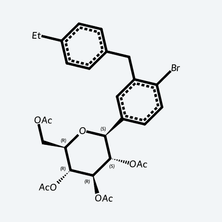 CCc1ccc(Cc2cc([C@@H]3O[C@H](COC(C)=O)[C@@H](OC(C)=O)[C@H](OC(C)=O)[C@H]3OC(C)=O)ccc2Br)cc1